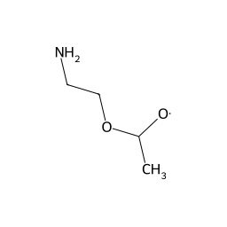 CC([O])OCCN